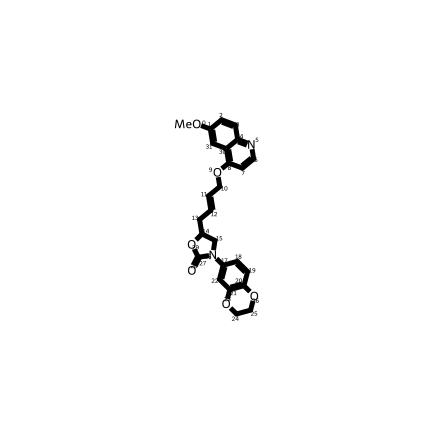 COc1ccc2nccc(OCC=CCC3CN(c4ccc5c(c4)OCCO5)C(=O)O3)c2c1